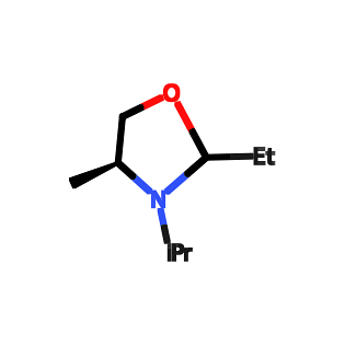 CCC1OC[C@H](C)N1C(C)C